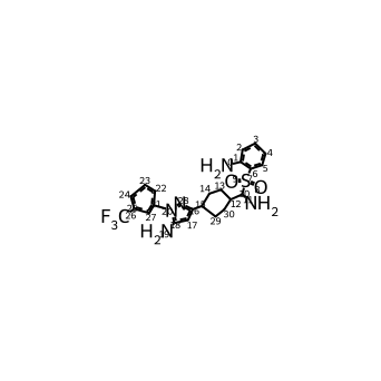 Nc1ccccc1S(=O)(=O)C(N)C1CCC(c2cc(N)n(-c3cccc(C(F)(F)F)c3)n2)CC1